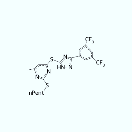 CCCCCSc1nc(C)cc(Sc2nc(-c3cc(C(F)(F)F)cc(C(F)(F)F)c3)n[nH]2)n1